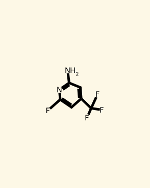 Nc1cc(C(F)(F)F)cc(F)n1